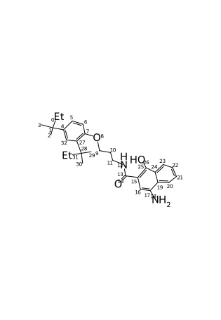 CCC(C)(C)c1ccc(OCCCNC(=O)c2cc(N)c3ccccc3c2O)c(C(C)(C)CC)c1